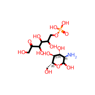 N[C@H]1C(O)O[C@H](CO)[C@@H](O)[C@@H]1O.O=C(CO)C(O)C(O)C(O)COP(=O)(O)O